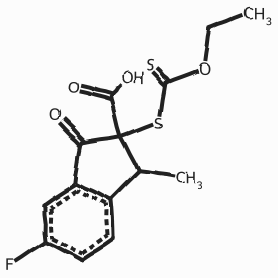 CCOC(=S)SC1(C(=O)O)C(=O)c2cc(F)ccc2C1C